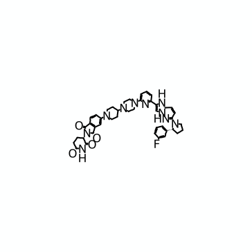 N=C(/C=C\c1ncc(-c2cccc(N3CCN(C4CCN(c5ccc6c(c5)C(=O)N(C5CCC(=O)NC5=O)C6=O)CC4)CC3)n2)[nH]1)N1CCC[C@@H]1c1cccc(F)c1